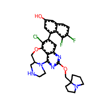 Oc1cc(-c2cc3nc(OCC45CCCN4CCC5)nc4c3c(c2Cl)OCC2CNCCN42)c2c(F)c(F)ccc2c1